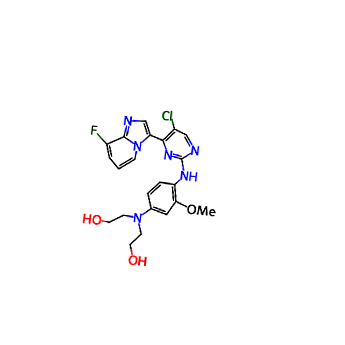 COc1cc(N(CCO)CCO)ccc1Nc1ncc(Cl)c(-c2cnc3c(F)cccn23)n1